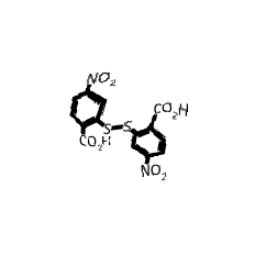 O=C(O)c1ccc([N+](=O)[O-])cc1SSc1cc([N+](=O)[O-])ccc1C(=O)O